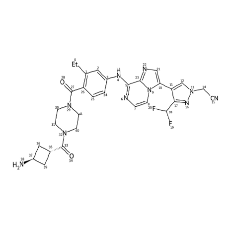 CCc1cc(Nc2nccn3c(-c4cn(CC#N)nc4C(F)F)cnc23)ccc1C(=O)N1CCN(C(=O)[C@H]2C[C@H](N)C2)CC1